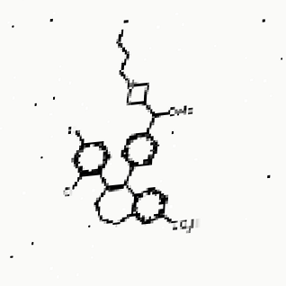 COC(c1ccc(C2=C(c3ccc(Cl)cc3Cl)CCCc3cc(C(=O)O)ccc32)cc1)C1CN(CCCF)C1